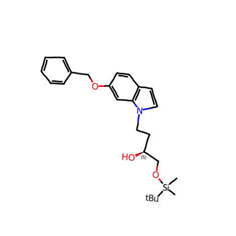 CC(C)(C)[Si](C)(C)OC[C@@H](O)CCn1ccc2ccc(OCc3ccccc3)cc21